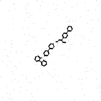 C\C=C/C(=C\C=N\C1C=CC(c2ccc(-n3c4ccccc4c4ccccc43)cc2)=CC1)c1ccc(-c2ccccc2)cc1